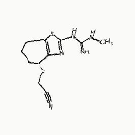 CNC(=N)Nc1nc2c(s1)CCC[C@H]2CCC#N